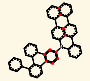 c1ccc(-c2ccc(-c3ccccc3N(c3ccc(-c4ccccc4)cc3)c3ccc(-c4cccc(-c5ccccc5)c4-c4ccccc4-c4ccccc4)cc3)cc2)cc1